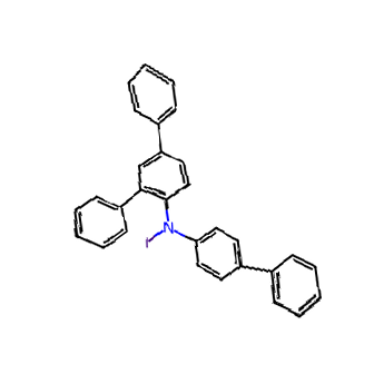 IN(c1ccc(-c2ccccc2)cc1)c1ccc(-c2ccccc2)cc1-c1ccccc1